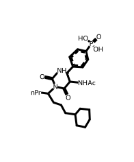 CCCC(CCCC1CCCCC1)N(C(N)=O)C(=O)C(Cc1ccc(P(=O)(O)O)cc1)NC(C)=O